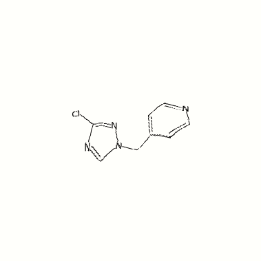 Clc1ncn(Cc2ccncc2)n1